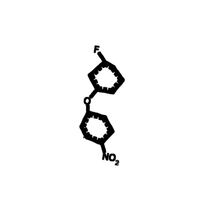 O=[N+]([O-])c1[c]cc(Oc2cccc(F)c2)cc1